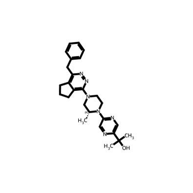 C[C@@H]1CN(c2nnc(Cc3ccccc3)c3c2CCC3)CCN1c1cnc(C(C)(C)O)cn1